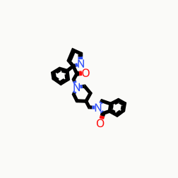 O=C1c2ccccc2CN1CC1CCN(CC(=O)C2(c3ccccc3)C=CC=N2)CC1